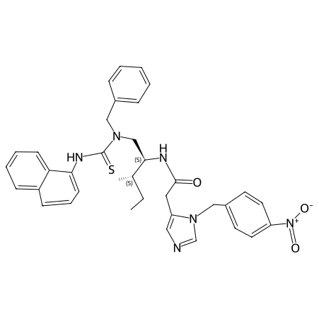 CC[C@H](C)[C@@H](CN(Cc1ccccc1)C(=S)Nc1cccc2ccccc12)NC(=O)Cc1cncn1Cc1ccc([N+](=O)[O-])cc1